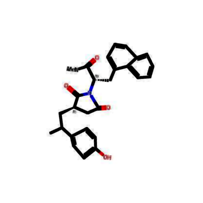 CNC(=O)[C@H](Cc1cccc2ccccc12)N1C(=O)C[C@@H](CC(C)c2ccc(O)cc2)C1=O